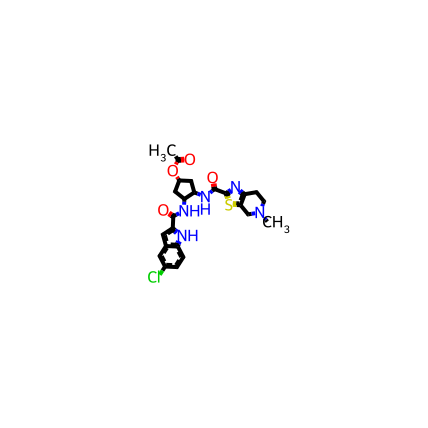 CC(=O)OC1CC(NC(=O)c2cc3cc(Cl)ccc3[nH]2)C(NC(=O)c2nc3c(s2)CN(C)CC3)C1